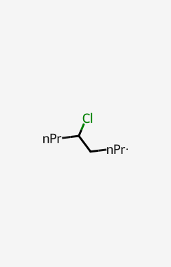 CC[CH]CC(Cl)CCC